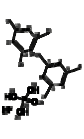 Cc1cc(C)cc(C)c1.Cc1cc(C)cc(C)c1.F.O=P(O)(O)O